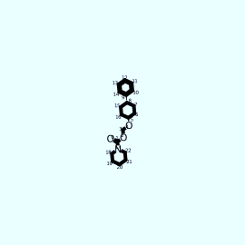 O=C(OCO[C@H]1CC[C@@H](c2ccccc2)CC1)N1CCCCC1